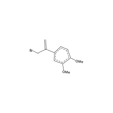 C=C(CBr)c1ccc(OC)c(OC)c1